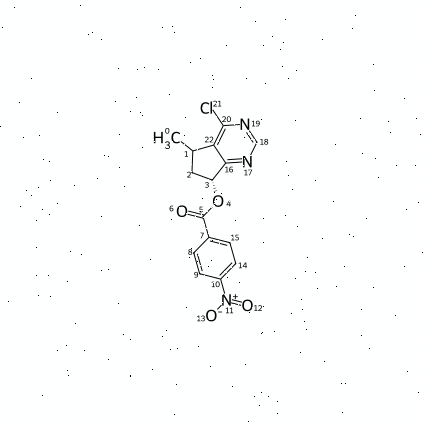 CC1C[C@@H](OC(=O)c2ccc([N+](=O)[O-])cc2)c2ncnc(Cl)c21